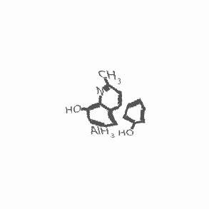 Cc1ccc2cccc(O)c2n1.Oc1ccccc1.[AlH3]